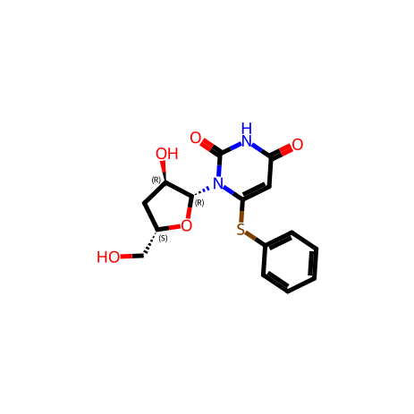 O=c1cc(Sc2ccccc2)n([C@@H]2O[C@H](CO)C[C@H]2O)c(=O)[nH]1